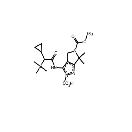 CCOC(=O)n1nc2c(c1NC(=O)C(C1CC1)[Si](C)(C)C)CN(C(=O)OC(C)(C)C)C2(C)C